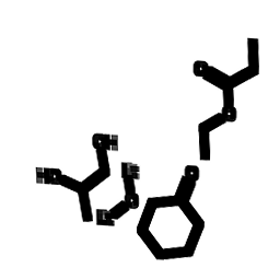 CC(O)CO.CCOC(=O)CC.CCOCC.O=C1CCCCC1